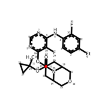 CCc1ccc(Nc2ncnc(OC3CC4COCC(C3)N4C(=O)OC3(C)CC3)c2F)c(F)c1